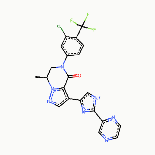 C[C@H]1CN(c2ccc(C(F)(F)F)c(Cl)c2)C(=O)c2c(-c3c[nH]c(-c4cnccn4)n3)cnn21